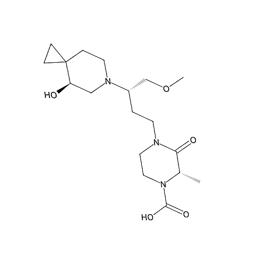 COC[C@H](CCN1CCN(C(=O)O)[C@@H](C)C1=O)N1CCC2(CC2)[C@H](O)C1